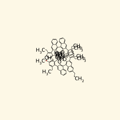 C=CCc1ccc2c3c(c(-c4c(CC)cc(CC)cc4CC)cc2c1)OP(=O)(NP1(=O)Oc2c(-c4c(CC)cc(CC)cc4CC)cc4ccccc4c2-c2c(c(-c4c(CC)cc(CC)cc4CC)cc4ccccc24)O1)Oc1c(-c2c(CC)cc(CC)cc2CC)cc2ccccc2c1-3